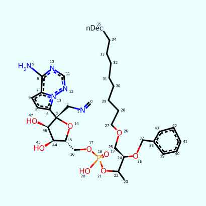 C=NC[C@@]1(c2ccc3c(N)ncnn23)O[C@H](COP(=O)(O)OC(C)[C@@H](COCCCCCCCCCCCCCCCCCC)OCc2ccccc2)[C@@H](O)[C@H]1O